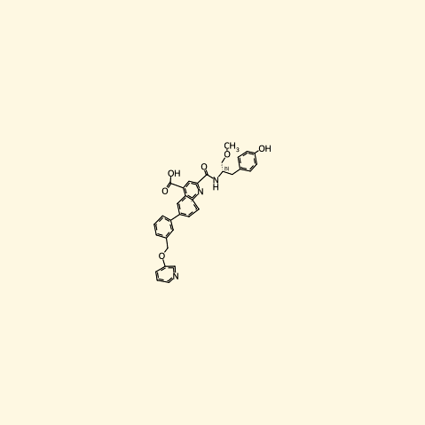 COC[C@H](Cc1ccc(O)cc1)NC(=O)c1cc(C(=O)O)c2cc(-c3cccc(COc4cccnc4)c3)ccc2n1